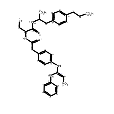 CC(C)CC(NC(=O)Cc1ccc(N/C(=C/[N+](=O)[O-])Nc2ccccc2)cc1)C(=O)NC(Cc1ccc(CCC(=O)O)cc1)C(=O)O